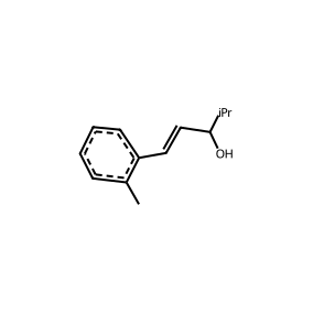 Cc1ccccc1C=CC(O)C(C)C